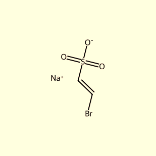 O=S(=O)([O-])C=CBr.[Na+]